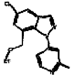 CCOCc1nc(Cl)cc2cnn(-c3ccnc(C)c3)c12